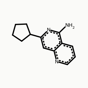 Nc1nc(C2CCCC2)cc2ncccc12